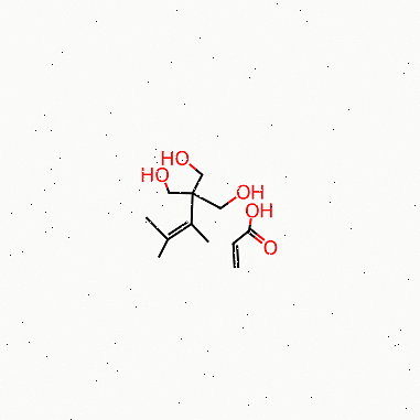 C=CC(=O)O.CC(C)=C(C)C(CO)(CO)CO